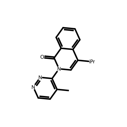 Cc1ccnnc1-n1cc(C(C)C)c2ccccc2c1=O